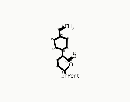 C=CC1CCC(C2CCC(CCCCC)OC2=O)CC1